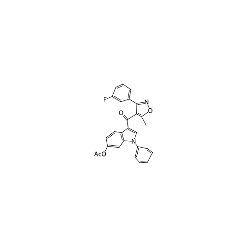 CC(=O)Oc1ccc2c(C(=O)c3c(-c4cccc(F)c4)noc3C)cn(-c3ccccc3)c2c1